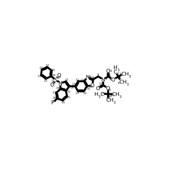 CC(C)(C)OC(=O)N(Cc1nc2cc(-c3cn(S(=O)(=O)c4ccccc4)c4cc(F)ccc34)ccc2o1)C(=O)OC(C)(C)C